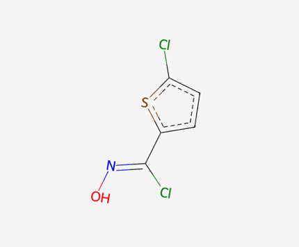 ON=C(Cl)c1ccc(Cl)s1